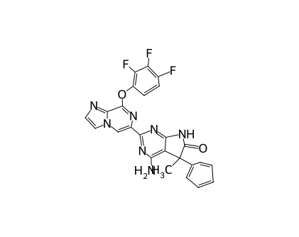 CC1(c2ccccc2)C(=O)Nc2nc(-c3cn4ccnc4c(Oc4ccc(F)c(F)c4F)n3)nc(N)c21